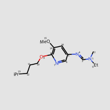 CCN(C)/C=N/c1cnc(OCCCC(C)C)c(OC)c1